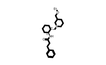 CCOCC1CCCN(C[C@H]2CCCC[C@@H]2NC(=O)CCc2ccccc2)C1